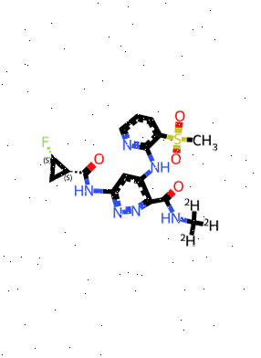 [2H]C([2H])([2H])NC(=O)c1nnc(NC(=O)[C@@H]2C[C@@H]2F)cc1Nc1ncccc1S(C)(=O)=O